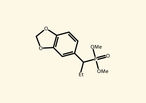 CCC(c1ccc2c(c1)OCO2)P(=O)(OC)OC